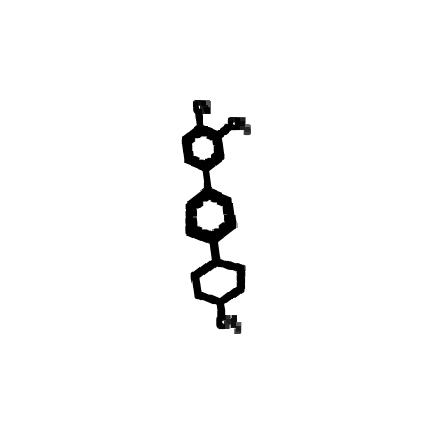 Cc1cc(-c2ccc(C3CCC(C)CC3)cc2)ccc1C#N